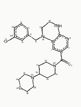 O=C(c1cnc2c(c1)N(Cc1cccc(Cl)c1)CCN2)N1CCC(N2CCOCC2)CC1